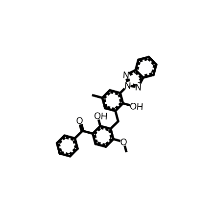 COc1ccc(C(=O)c2ccccc2)c(O)c1Cc1cc(C)cc(-n2nc3ccccc3n2)c1O